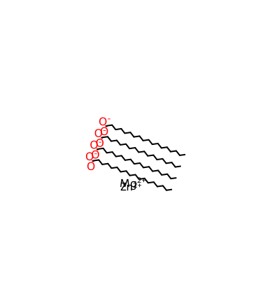 CCCCCCCCCCCCCCCCCC(=O)[O-].CCCCCCCCCCCCCCCCCC(=O)[O-].CCCCCCCCCCCCCCCCCC(=O)[O-].CCCCCCCCCCCCCCCCCC(=O)[O-].[Mg+2].[Zn+2]